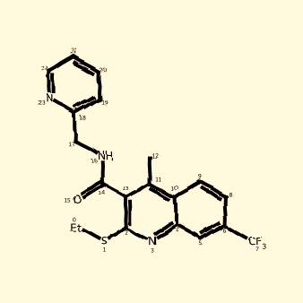 CCSc1nc2cc(C(F)(F)F)ccc2c(C)c1C(=O)NCc1ccccn1